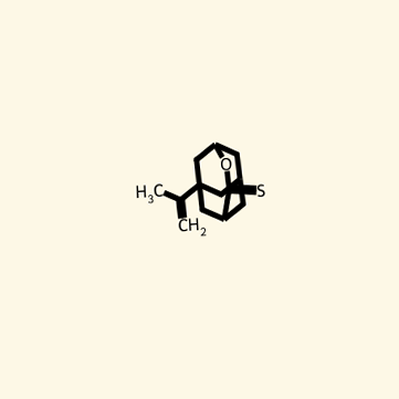 C=C(C)C12CC3CC(C1)OC(=S)C(C3)C2